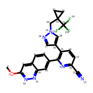 COc1cc2ccc(-c3nc(C#N)ccc3-c3cnn(CC4(C(F)(F)F)CC4)c3)cc2nn1